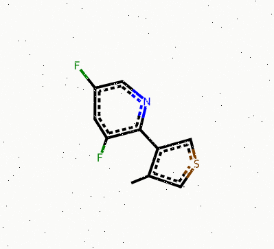 Cc1[c]scc1-c1ncc(F)cc1F